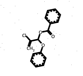 C=C(Cl)C(OC(=O)c1ccccc1)Oc1ccccc1